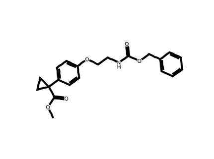 COC(=O)C1(c2ccc(OCCNC(=O)OCc3ccccc3)cc2)CC1